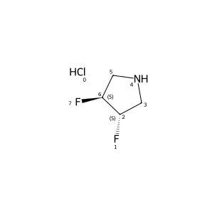 Cl.F[C@H]1CNC[C@@H]1F